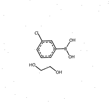 OB(O)c1cccc(Cl)c1.OCCO